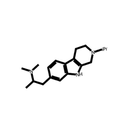 CC(Cc1ccc2c3c([nH]c2c1)CN(C(C)C)CC3)N(C)C